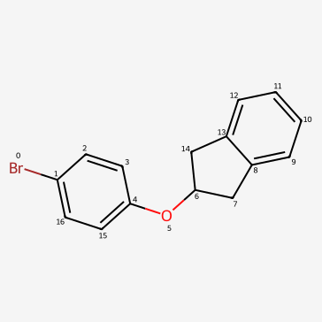 Brc1ccc(OC2Cc3ccccc3C2)cc1